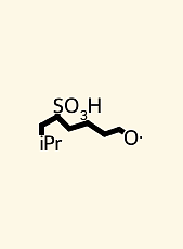 CC(C)CC(CCCC[O])S(=O)(=O)O